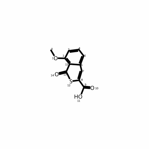 COc1cccc2cc(C(=O)O)sc(=O)c12